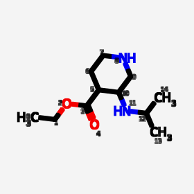 CCOC(=O)C1CCNCC1NC(C)C